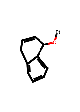 CCOC1C=C[CH]c2ccccc21